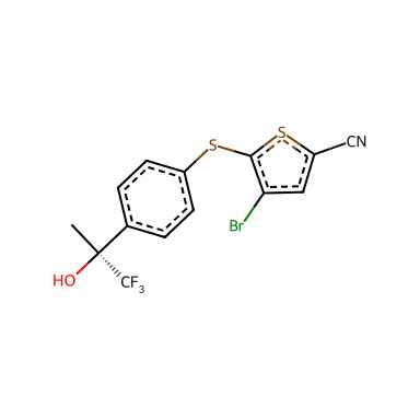 C[C@](O)(c1ccc(Sc2sc(C#N)cc2Br)cc1)C(F)(F)F